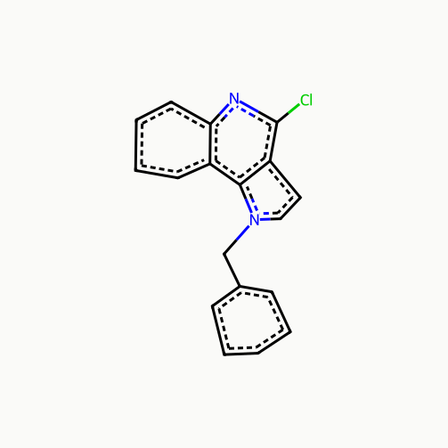 Clc1nc2ccccc2c2c1ccn2Cc1ccccc1